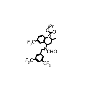 CC(C)OC(=O)N1c2ccc(C(F)(F)F)cc2C(N(C=O)Cc2cc(C(F)(F)F)cc(C(F)(F)F)c2)CC1C